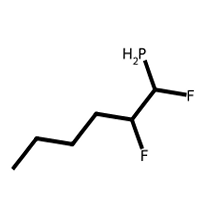 CCCCC(F)C(F)P